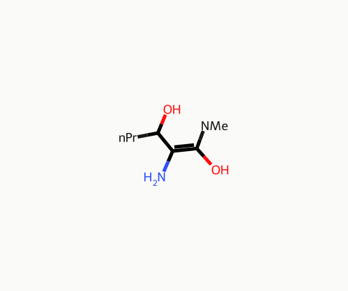 CCCC(O)/C(N)=C(/O)NC